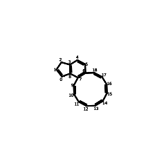 [C]1=CCc2ccc3c(c21)\C=C/C=C\C=C/C=C\C=C/3